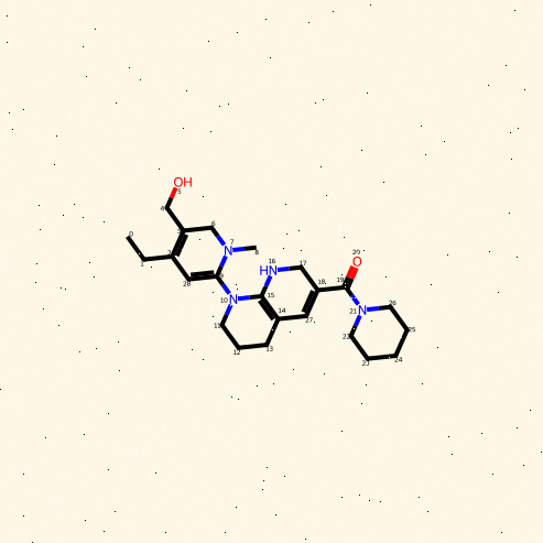 CCC1=C(CO)CN(C)C(N2CCCC3=C2NCC(C(=O)N2CCCCC2)=C3)=C1